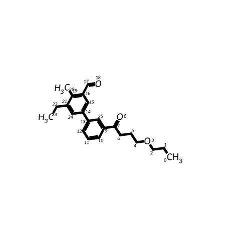 CCCOCCCC(=O)c1cccc(-c2cc(C=O)c(C)c(CC)c2)c1